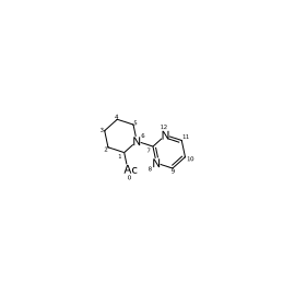 CC(=O)C1CCCCN1c1ncccn1